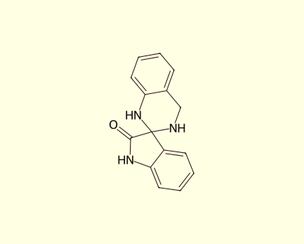 O=C1Nc2ccccc2C12NCc1ccccc1N2